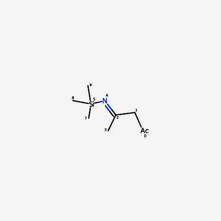 CC(=O)C/C(C)=N/[Si](C)(C)C